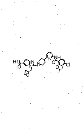 CC1Cc2c(Cl)ccc(C(=O)Nc3cccc(C4CCN(Cc5nc6ccc(C(=O)O)cc6n5C[C@@H]5CCO5)CC4)n3)c2O1